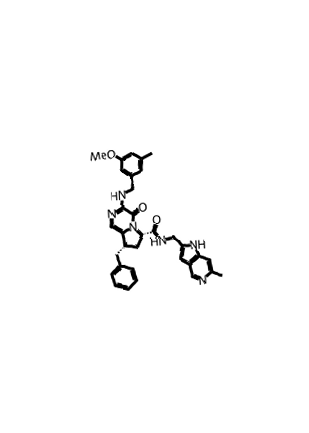 COc1cc(C)cc(CNc2ncc3n(c2=O)[C@H](C(=O)NCc2cc4cnc(C)cc4[nH]2)C[C@@H]3Cc2ccccc2)c1